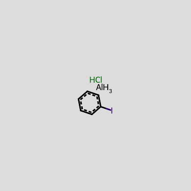 Cl.Ic1ccccc1.[AlH3]